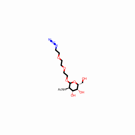 CC(=O)N[C@H]1C(OCCOCCOCCN=[N+]=[N-])O[C@H](CO)[C@H](O)[C@@H]1O